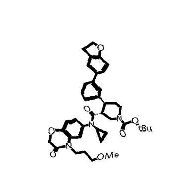 COCCCN1C(=O)COc2ccc(N(C(=O)[C@H]3CN(C(=O)OC(C)(C)C)CC[C@@H]3c3cccc(-c4ccc5c(c4)CCO5)c3)C3CC3)cc21